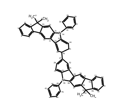 CC1(C)c2ccccc2-c2cc3c4c(n(-c5ccccc5)c3cc21)=CCC(c1ccc2c(c1)c1cc3c(cc1n2-c1ccccc1)C(C)(C)c1ccccc1-3)C=4